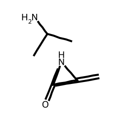 C=C1NC1=O.CC(C)N